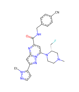 CCn1nccc1-c1cc2nc(C(=O)NCc3ccc(C#N)cc3)cc(N3CCN(C)C[C@H]3CF)n2n1